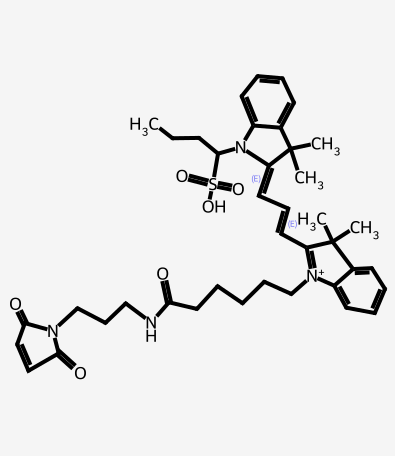 CCCC(N1/C(=C/C=C/C2=[N+](CCCCCC(=O)NCCCN3C(=O)C=CC3=O)c3ccccc3C2(C)C)C(C)(C)c2ccccc21)S(=O)(=O)O